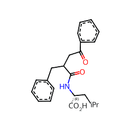 CC(C)C[C@@H](NC(=O)C(CC(=O)c1ccccc1)Cc1ccccc1)C(=O)O